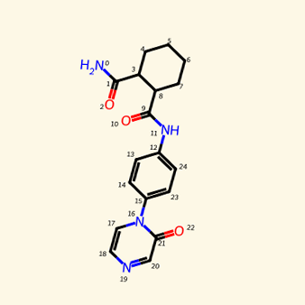 NC(=O)C1CCCCC1C(=O)Nc1ccc(-n2ccncc2=O)cc1